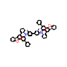 Cc1cc(-c2ccc(N(c3cccc(-c4ccccc4)c3)c3ccccc3-c3ccc4oc5ccccc5c4c3)c(C)c2)ccc1N(c1cccc(-c2ccccc2)c1)c1ccccc1-c1ccc2oc3ccccc3c2c1